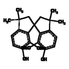 COc1c(O)ccc2c1C1(CC2(C)C)CC(C)(C)c2ccc(O)c(OC)c21